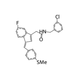 CSc1ccc(/C=C2\C=C(CC(=O)NCc3cccc(Cl)c3)c3cc(F)ccc32)cc1